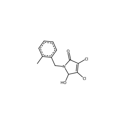 Cc1ccccc1CN1C(=O)C(Cl)=C(Cl)C1O